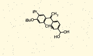 C=C(c1ccc(C(O)O)cc1)c1cc(C(C)C)c(OCC(C)C)cc1C